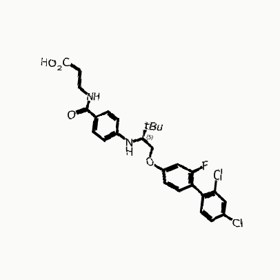 CC(C)(C)[C@@H](COc1ccc(-c2ccc(Cl)cc2Cl)c(F)c1)Nc1ccc(C(=O)NCCC(=O)O)cc1